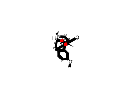 COc1ccc2c(c1)[C@]13CCN(C)[C@H](C2)[C@@H]1C=CC(=O)C3